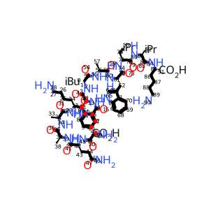 CC[C@H](C)[C@H](NC(=O)[C@H](Cc1ccccc1)NC(=O)[C@H](CCC(=O)O)NC(=O)[C@H](CCCCN)NC(=O)[C@H](C)NC(=O)[C@H](C)NC(=O)[C@H](CCC(N)=O)NC(=O)CN)C(=O)N[C@@H](C)C(=O)N[C@@H](Cc1c[nH]c2ccccc12)C(=O)N[C@@H](CC(C)C)C(=O)N[C@H](C(=O)N[C@@H](CCCCN)C(=O)O)C(C)C